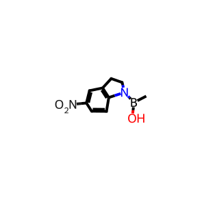 CB(O)N1CCc2cc([N+](=O)[O-])ccc21